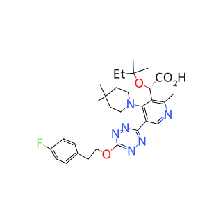 CCC(C)(C)O[C@H](C(=O)O)c1c(C)ncc(-c2nnc(OCCc3ccc(F)cc3)nn2)c1N1CCC(C)(C)CC1